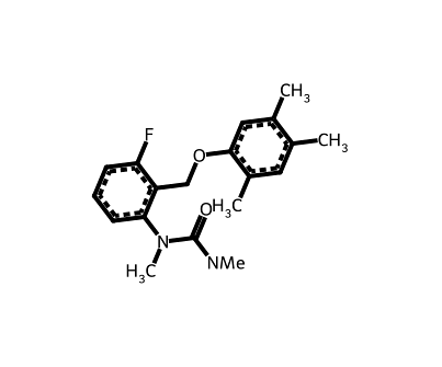 CNC(=O)N(C)c1cccc(F)c1COc1cc(C)c(C)cc1C